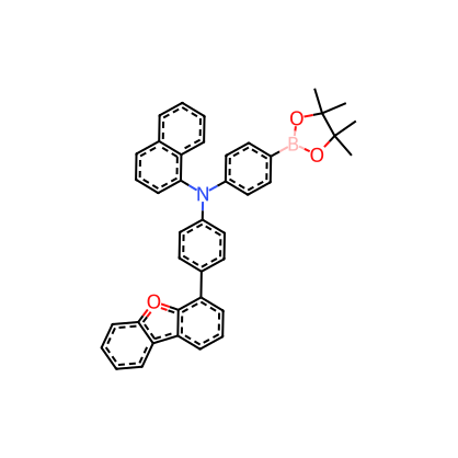 CC1(C)OB(c2ccc(N(c3ccc(-c4cccc5c4oc4ccccc45)cc3)c3cccc4ccccc34)cc2)OC1(C)C